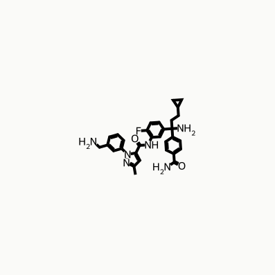 Cc1cc(C(=O)Nc2cc(C(N)(CCC3CC3)c3ccc(C(N)=O)cc3)ccc2F)n(-c2cccc(CN)c2)n1